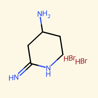 Br.Br.N=C1CC(N)CCN1